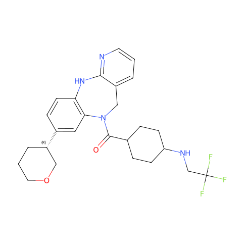 O=C(C1CCC(NCC(F)(F)F)CC1)N1Cc2cccnc2Nc2ccc([C@H]3CCCOC3)cc21